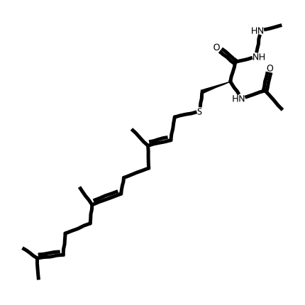 CNNC(=O)[C@H](CSC/C=C(\C)CC/C=C(\C)CCC=C(C)C)NC(C)=O